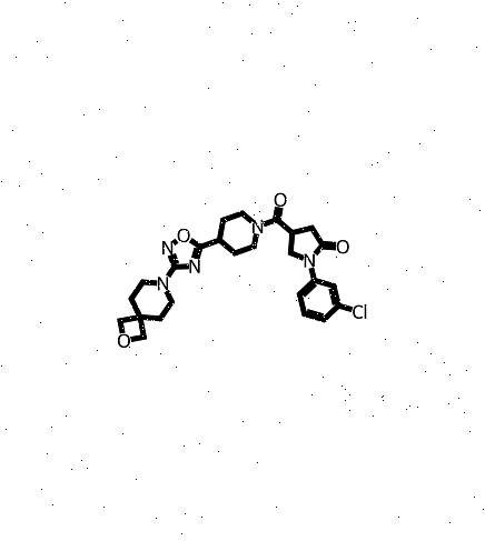 O=C(C1CC(=O)N(c2cccc(Cl)c2)C1)N1CCC(c2nc(N3CCC4(CC3)COC4)no2)CC1